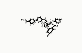 O=C(N[C@H](C[C@H](Cc1ccc(-c2ccc(CO)cc2)cc1)C(=O)NO)c1c[nH]nn1)c1ccc(F)cc1